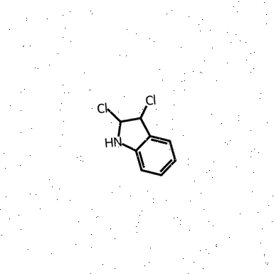 ClC1Nc2ccccc2C1Cl